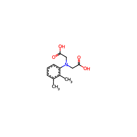 Cc1cccc(N(CC(=O)O)CC(=O)O)c1C